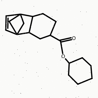 O=C(OC1CCCCC1)C1CCC2C(C1)C13C=CC2(C1)C3